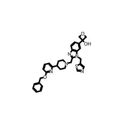 OC1(c2ccc3nc(CN4CCC(c5cccc(OCc6ccccc6)n5)CC4)n(Cc4cncs4)c3c2)COC1